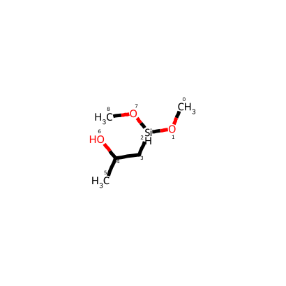 CO[SiH](CC(C)O)OC